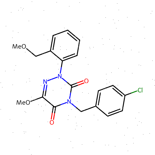 COCc1ccccc1-n1nc(OC)c(=O)n(Cc2ccc(Cl)cc2)c1=O